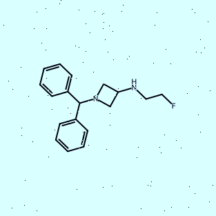 FCCNC1CN(C(c2ccccc2)c2ccccc2)C1